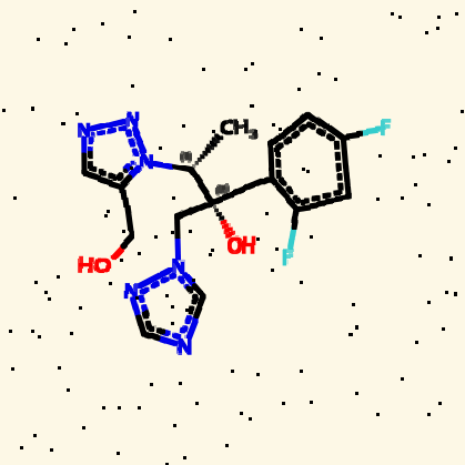 C[C@@H](n1nncc1CO)[C@](O)(Cn1cncn1)c1ccc(F)cc1F